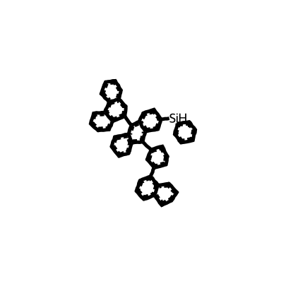 c1ccc([SiH2]c2ccc3c(-c4cc5ccccc5c5ccccc45)c4ccccc4c(-c4cccc(-c5cccc6ccccc56)c4)c3c2)cc1